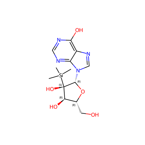 C[Si](C)(C)[C@@]1(O)[C@H](O)[C@@H](CO)O[C@H]1n1cnc2c(O)ncnc21